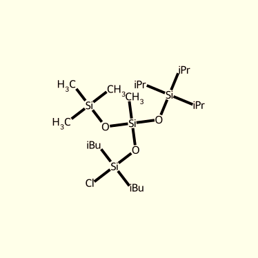 CCC(C)[Si](Cl)(O[Si](C)(O[Si](C)(C)C)O[Si](C(C)C)(C(C)C)C(C)C)C(C)CC